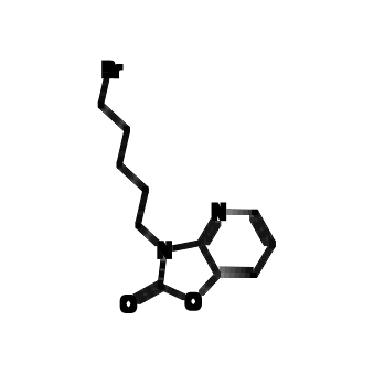 O=c1oc2cccnc2n1CCCCCBr